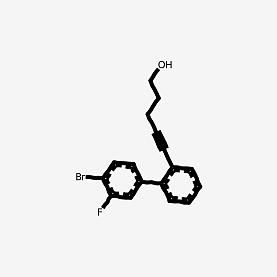 OCCCC#Cc1ccccc1-c1ccc(Br)c(F)c1